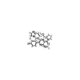 COC[C@H]1CCCN1C(=O)c1nc(-c2ccc3ncc(C)n3c2)c(-c2ccc(F)cc2)nc1N